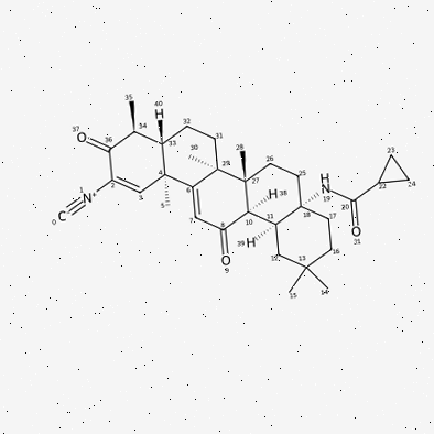 [C-]#[N+]C1=C[C@]2(C)C3=CC(=O)[C@@H]4[C@@H]5CC(C)(C)CC[C@]5(NC(=O)C5CC5)CC[C@@]4(C)[C@]3(C)CC[C@H]2[C@H](C)C1=O